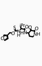 CC(C)C(NC(=S)OCc1ccoc1)C(=O)NC1CCNC(=O)C1=O